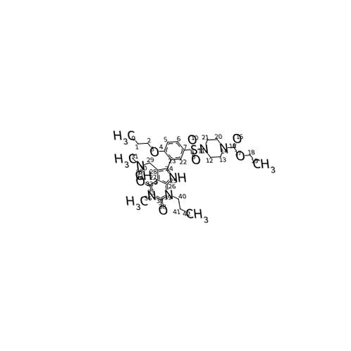 CCCOc1ccc(S(=O)(=O)N2CCN(C(=O)OCC)CC2)cc1-c1[nH]c2c(c1CN(C)C)c(=O)n(C)c(=O)n2CCC